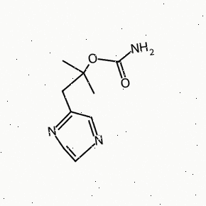 CC(C)(Cc1cnccn1)OC(N)=O